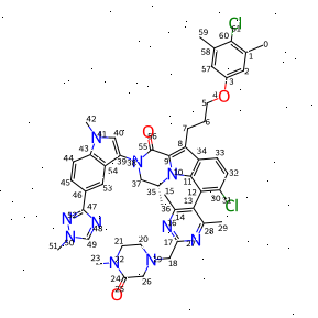 Cc1cc(OCCCc2c3n(c4c(-c5c(C)nc(CN6CCN(C)C(=O)C6)nc5C)c(Cl)ccc24)[C@H](C)CN(c2cn(C)c4ccc(-c5ncn(C)n5)cc24)C3=O)cc(C)c1Cl